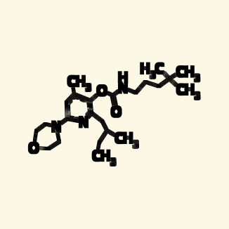 CCC(C)Cc1nc(N2CCOCC2)cc(C)c1OC(=O)NCCCC(C)(C)C